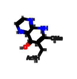 COc1[nH]c2nccnc2c(=O)c1CNC(C)=O